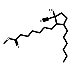 CCCCCCC1CCC(N)(C#N)C1CCCCCCC(=O)OC